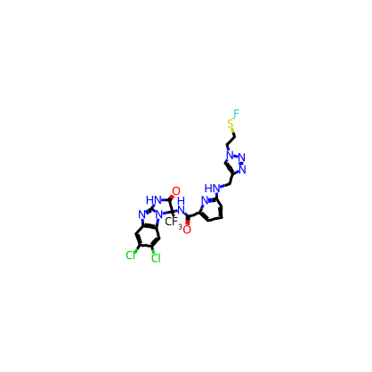 O=C(NC1(C(F)(F)F)C(=O)Nc2nc3cc(Cl)c(Cl)cc3n21)c1cccc(NCc2cn(CCSF)nn2)n1